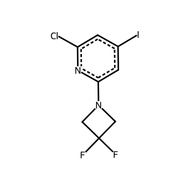 FC1(F)CN(c2cc(I)cc(Cl)n2)C1